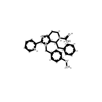 COc1ccc(Cn2c(-c3ccccn3)nc3c2C(Cc2ccccc2)N(C(=O)O)CC3)cc1